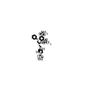 CC(C)(C)OC(=O)N1C[C@@H]2C[C@H]1CN2CC[C@H](CSc1ccccc1)Nc1ccc(S(N)(=O)=O)cc1S(=O)(=O)C(F)(F)F